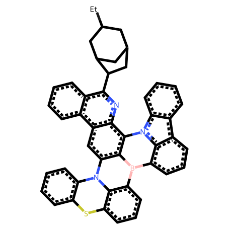 CCC1CC2CC(C1)C(c1nc3c4c5c(cc3c3ccccc13)N1c3ccccc3Sc3cccc(c31)B5c1cccc3c5ccccc5n-4c13)C2